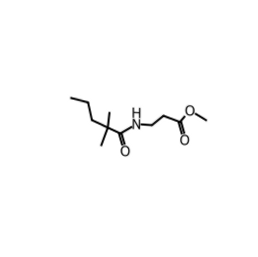 CCCC(C)(C)C(=O)NCCC(=O)OC